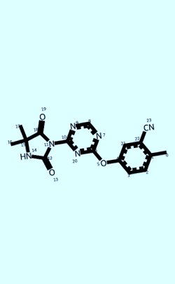 Cc1ccc(Oc2ncnc(N3C(=O)NC(C)(C)C3=O)n2)cc1C#N